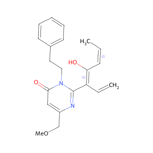 C=C/C(=C(O)\C=C/C)c1nc(COC)cc(=O)n1CCc1ccccc1